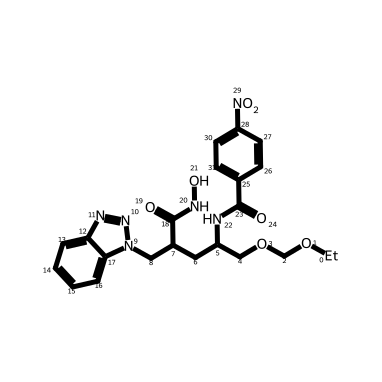 CCOCOCC(CC(Cn1nnc2ccccc21)C(=O)NO)NC(=O)c1ccc([N+](=O)[O-])cc1